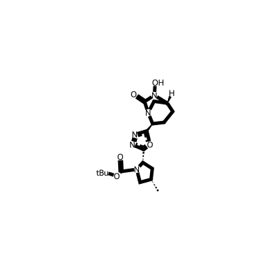 C[C@H]1C[C@@H](c2nnc([C@@H]3CC[C@@H]4CN3C(=O)N4O)o2)N(C(=O)OC(C)(C)C)C1